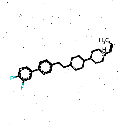 C/C=C\[SiH]1CCC(C2CCC(CCc3ccc(-c4ccc(F)c(F)c4)cc3)CC2)CC1